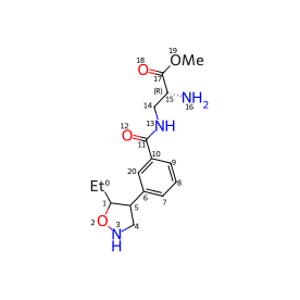 CCC1ONCC1c1cccc(C(=O)NC[C@@H](N)C(=O)OC)c1